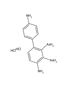 Cl.Cl.Nc1ccc(-c2ccc(N)c([AsH2])c2[AsH2])cc1